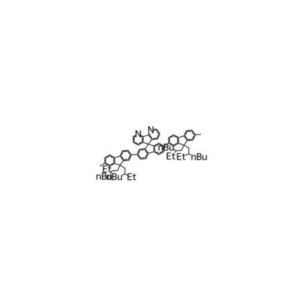 CCCCC(CC)CC1(CC(CC)CCCC)c2cc(C)ccc2-c2ccc(-c3ccc4c(c3)C3(c5cc(-c6ccc7c(c6)C(CC(CC)CCCC)(CC(CC)CCCC)c6cc(C)ccc6-7)ccc5-4)c4cccnc4-c4ncccc43)cc21